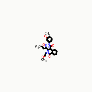 COCCN1C(=O)c2ccccc2C(C(=O)Nc2cccc(OC)c2)C1c1cc(C)on1